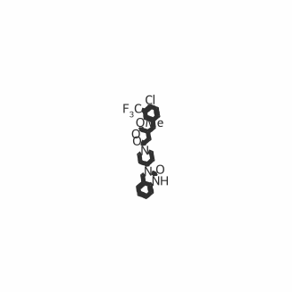 COC(=O)C(CC(=O)N1CCC(N2Cc3ccccc3NC2=O)CC1)Cc1ccc(Cl)c(C(F)(F)F)c1